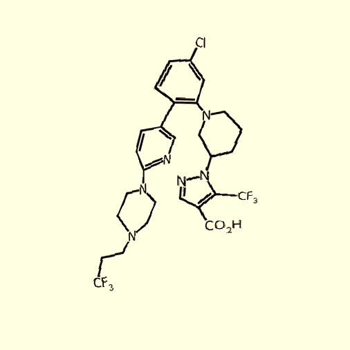 O=C(O)c1cnn(C2CCCN(c3cc(Cl)ccc3-c3ccc(N4CCN(CCC(F)(F)F)CC4)nc3)C2)c1C(F)(F)F